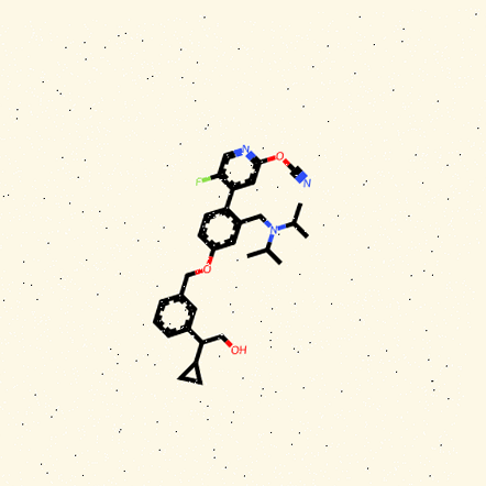 CC(C)N(Cc1cc(OCc2cccc(C(CO)C3CC3)c2)ccc1-c1cc(OC#N)ncc1F)C(C)C